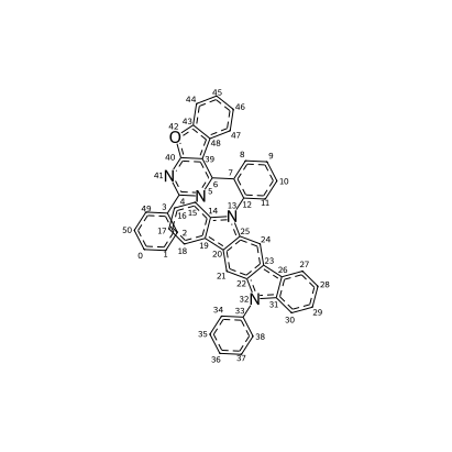 c1ccc(-c2nc(-c3ccccc3-n3c4ccccc4c4cc5c(cc43)c3ccccc3n5-c3ccccc3)c3c(n2)oc2ccccc23)cc1